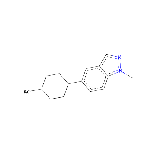 CC(=O)C1CCC(c2ccc3c(cnn3C)c2)CC1